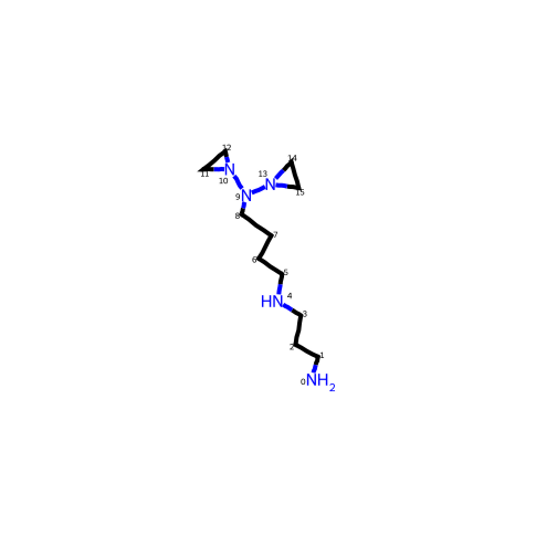 NCCCNCCCCN(N1CC1)N1CC1